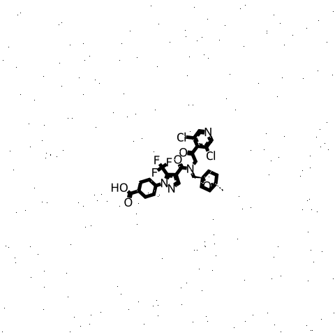 C[C@]12CC[C@@](CN(CC(=O)c3c(Cl)cncc3Cl)C(=O)c3cnn(C4CCC(C(=O)O)CC4)c3C(F)(F)F)(CC1)O2